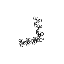 O=[N+]([O-])[O-].O=[N+]([O-])[O-].O=[N+]([O-])[O-].O=[N+]([O-])[O-].O=[N+]([O-])[O-].O=[N+]([O-])[O-].[C+4].[Zn+2]